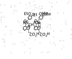 CCOc1ccc(-c2nc(-c3cccc4c(CCC(=O)O)cn(C)c34)no2)cc1OCC.COc1ccc(-c2nc(-c3cccc4c(CCC(=O)O)c[nH]c34)no2)cc1OC